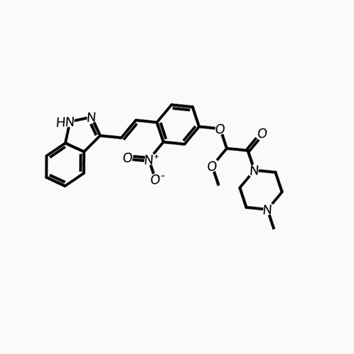 COC(Oc1ccc(C=Cc2n[nH]c3ccccc23)c([N+](=O)[O-])c1)C(=O)N1CCN(C)CC1